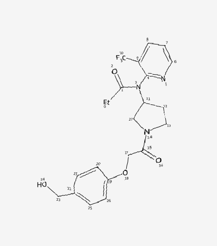 CCC(=O)N(c1ncccc1C(F)(F)F)C1CCN(C(=O)COc2ccc(CO)cc2)C1